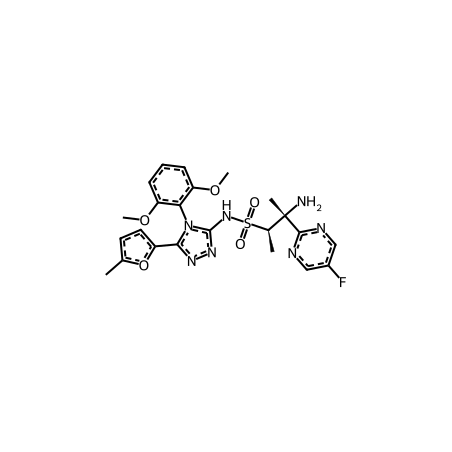 COc1cccc(OC)c1-n1c(NS(=O)(=O)[C@H](C)[C@](C)(N)c2ncc(F)cn2)nnc1-c1ccc(C)o1